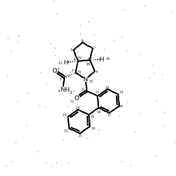 NC(=O)[C@@H]1[C@H]2CCC[C@H]2CN1C(=O)c1ccccc1-c1ccccc1